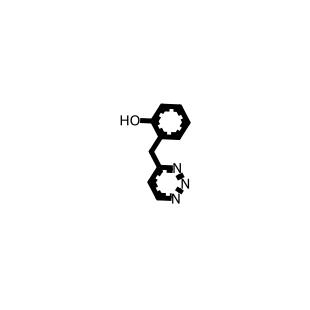 Oc1ccccc1Cc1ccnnn1